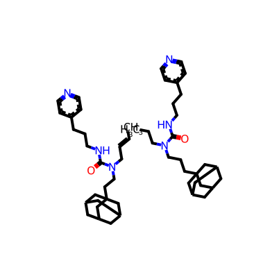 CC=CCN(CCC12CC3CC(CC(C3)C1)C2)C(=O)NCCCc1ccncc1.CCCN(CCCC12CC3CC(CC(C3)C1)C2)C(=O)NCCCc1ccncc1